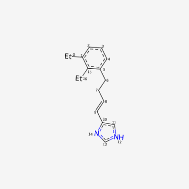 CCc1cccc(CCC=Cc2c[nH]cn2)c1CC